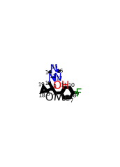 COC1(C(O)(Cc2ccc(F)cc2)Cn2cncn2)CC1